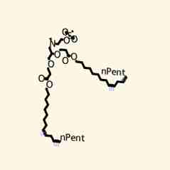 CCCCC/C=C\C/C=C\CCCCCCCCOC(=O)CCOCC(CN(C)CCOS(C)(=O)=O)OCCC(=O)OCCCCCCCC/C=C\C/C=C\CCCCC